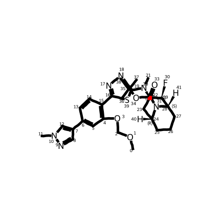 COCOc1cc(-c2cnn(C)c2)ccc1-c1nnc(N(C)[C@@H]2C[C@H]3CCC[C@@H]([C@@H]2F)N3C(=O)OC(C)(C)C)s1